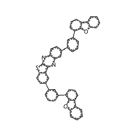 c1cc(-c2ccc3nc4sc5ccc(-c6cccc(-c7cccc8c7oc7ccccc78)c6)cc5c4nc3c2)cc(-c2cccc3c2oc2ccccc23)c1